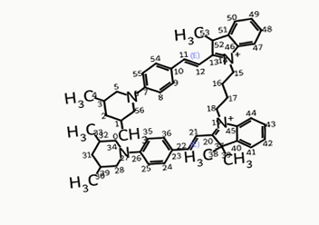 CC1CC(C)CN(c2ccc(/C=C/C3=[N+](CCCC[N+]4=C(/C=C/c5ccc(N6CC(C)CC(C)C6)cc5)C(C)(C)c5ccccc54)c4ccccc4C3C)cc2)C1